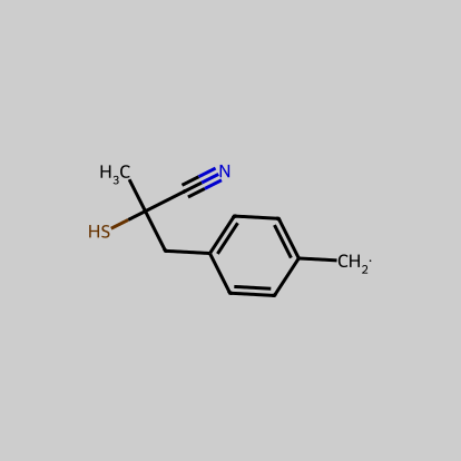 [CH2]c1ccc(CC(C)(S)C#N)cc1